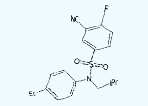 CCc1ccc(N(CC(C)C)S(=O)(=O)c2ccc(F)c(C#N)c2)cc1